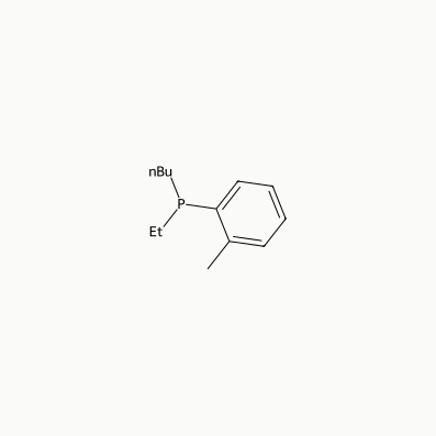 CCCCP(CC)c1ccccc1C